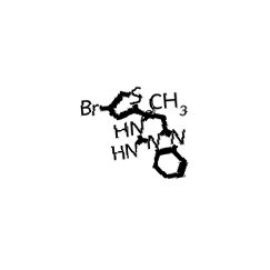 C[C@@]1(c2cc(Br)cs2)Cc2nc3c(n2C(=N)N1)CCC=C3